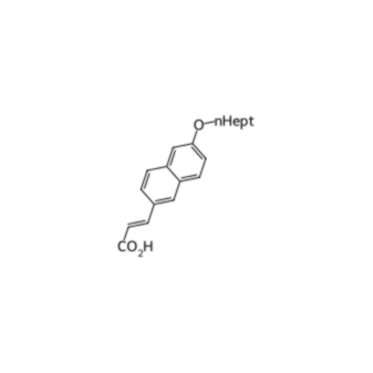 CCCCCCCOc1ccc2cc(C=CC(=O)O)ccc2c1